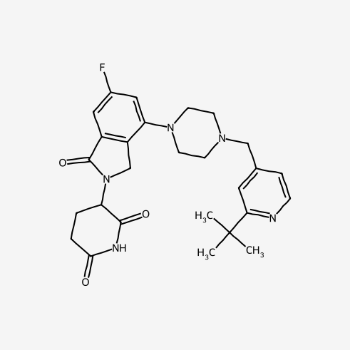 CC(C)(C)c1cc(CN2CCN(c3cc(F)cc4c3CN(C3CCC(=O)NC3=O)C4=O)CC2)ccn1